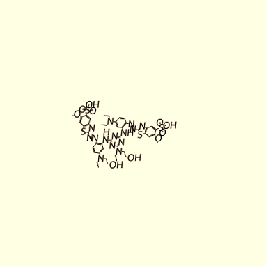 CCN(CC)c1ccc(/N=N/c2nc3cc(S(=O)(=O)O)c(OC)cc3s2)c(Nc2nc(Nc3cc(N(CC)CC)ccc3/N=N/c3nc4cc(S(=O)(=O)O)c(OC)cc4s3)nc(N(CCO)CCO)n2)c1